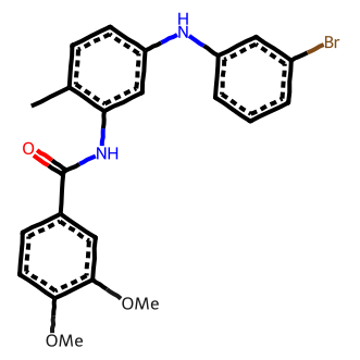 COc1ccc(C(=O)Nc2cc(Nc3cccc(Br)c3)ccc2C)cc1OC